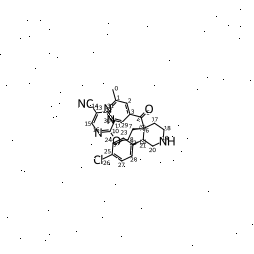 Cc1cc(C(=O)[C@]2(CCOc3ccc(C#N)cn3)CCNC[C@H]2c2ccc(Cl)cc2)cnn1